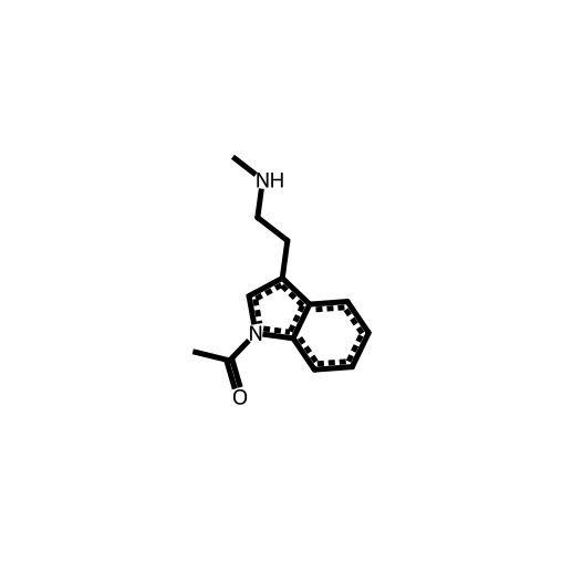 CNCCc1cn(C(C)=O)c2ccccc12